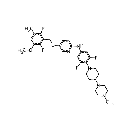 COc1cc(C)c(F)c(COc2cnc(Nc3cc(F)c(N4CCC(N5CCN(C)CC5)CC4)c(F)c3)nc2)c1F